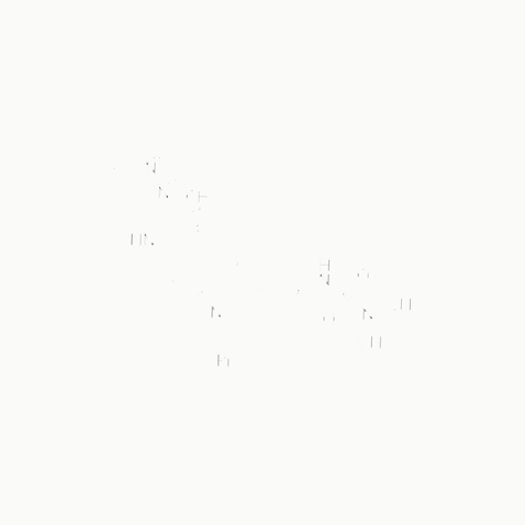 CC(C)Cn1cc(CCNS(=O)(=O)N(C)C)c2ccc(Nc3ccnn3C)cc21